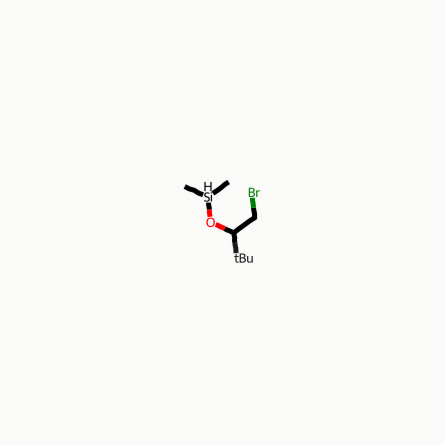 C[SiH](C)OC(CBr)C(C)(C)C